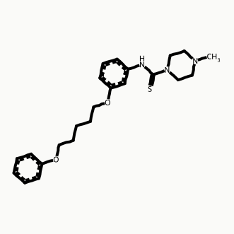 CN1CCN(C(=S)Nc2cccc(OCCCCCOc3ccccc3)c2)CC1